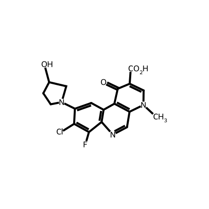 Cn1cc(C(=O)O)c(=O)c2c3cc(N4CCC(O)C4)c(Cl)c(F)c3ncc21